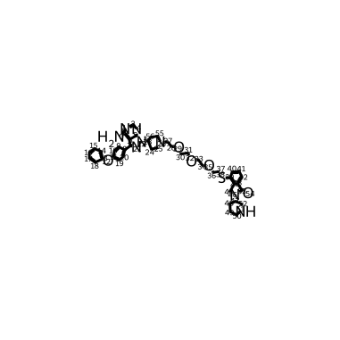 Nc1ncnc2c1c(-c1ccc(Oc3ccccc3)cc1)nn2C1CCN(CCOCCOCCOCCSc2cccc3c2CN(C2CCCNC2)C3=O)CC1